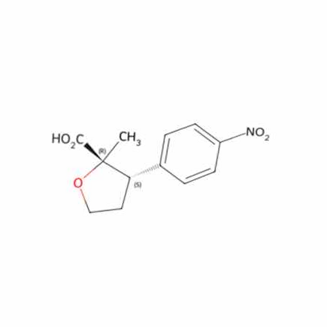 C[C@@]1(C(=O)O)OCC[C@H]1c1ccc([N+](=O)[O-])cc1